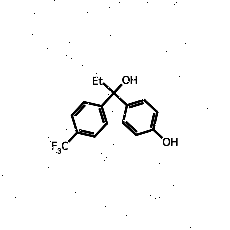 CCC(O)(c1ccc(O)cc1)c1ccc(C(F)(F)F)cc1